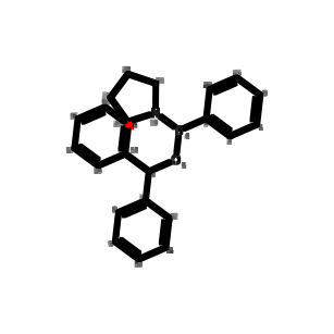 c1ccc(B(OC(c2ccccc2)c2ccccc2)N2CCCC2)cc1